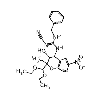 CCOC(OCC)C1(C)Oc2ccc([N+](=O)[O-])cc2C(NC(=NC#N)NCc2ccccc2)C1O